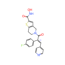 O=C(NO)c1cc2c(s1)CCN(C(=O)/C(=C/c1ccncc1)c1ccc(F)cc1)C2